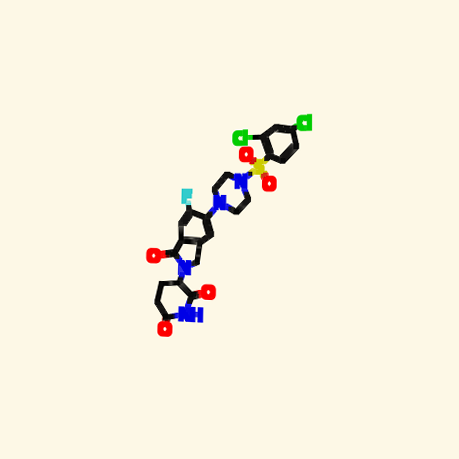 O=C1CCC(N2Cc3cc(N4CCN(S(=O)(=O)c5ccc(Cl)cc5Cl)CC4)c(F)cc3C2=O)C(=O)N1